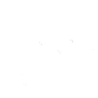 C/C=N/c1nc(OCOC(=O)C(C)(C)C)ncc1F